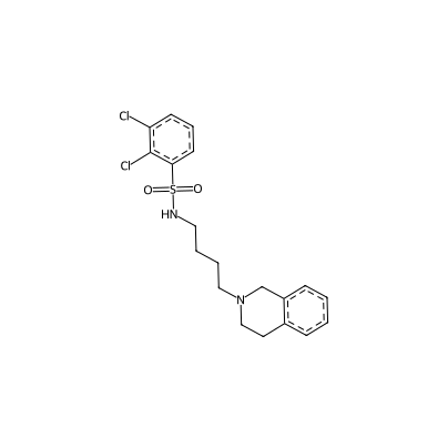 O=S(=O)(NCCCCN1CCc2ccccc2C1)c1cccc(Cl)c1Cl